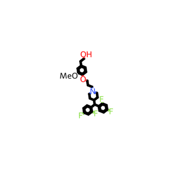 COc1cc(CCO)ccc1OCCCN1CCC(C(c2ccc(F)cc2F)c2ccc(F)cc2F)CC1